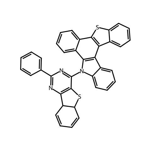 C1=CC2Sc3c(nc(-c4ccccc4)nc3-n3c4ccccc4c4c5c6ccccc6sc5c5ccccc5c43)C2C=C1